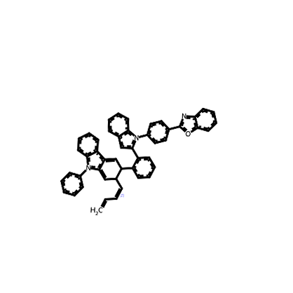 C=C/C=C\C1C=c2c(c3ccccc3n2-c2ccccc2)=CC1c1ccccc1-c1cc2ccccc2n1-c1ccc(-c2nc3ccccc3o2)cc1